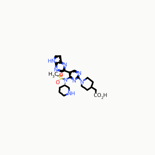 CS(=O)(=O)N(c1nc(N2CCC(CC(=O)O)CC2)ncc1-c1cnc2[nH]ccc2n1)[C@H]1CCCNC1